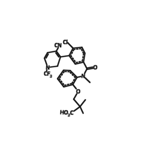 CN(C(=O)c1ccc(Cl)c(C2=C(C#N)C=CN(C(F)(F)F)C2)c1)c1ccccc1OCC(C)(C)C(=O)O